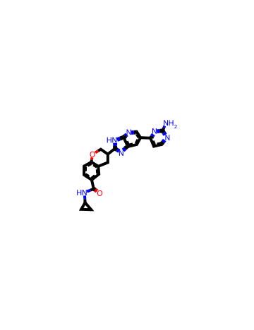 Nc1nccc(-c2cnc3[nH]c(C4COc5ccc(C(=O)NC6CC6)cc5C4)nc3c2)n1